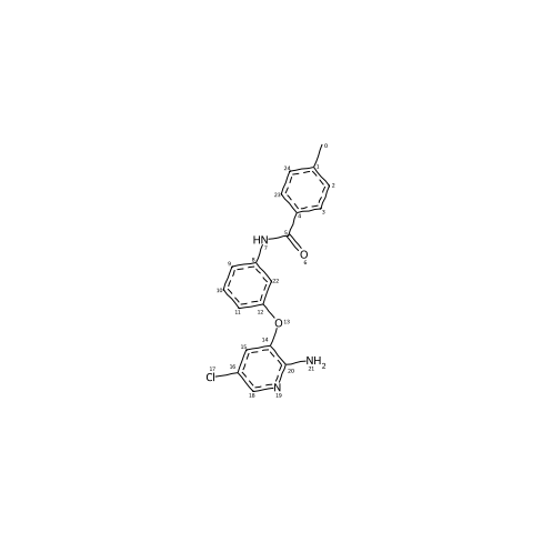 Cc1ccc(C(=O)Nc2cccc(Oc3cc(Cl)cnc3N)c2)cc1